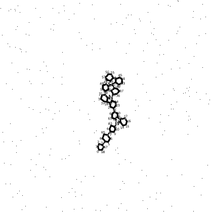 c1ccc(-c2ccc(-c3ccc(-n4c5ccccc5c5cc(-c6ccc7c(c6)c6ccccc6n7-c6cccc([Si](c7ccccc7)(c7ccccc7)c7ccccc7)c6)ccc54)cc3)cc2)cc1